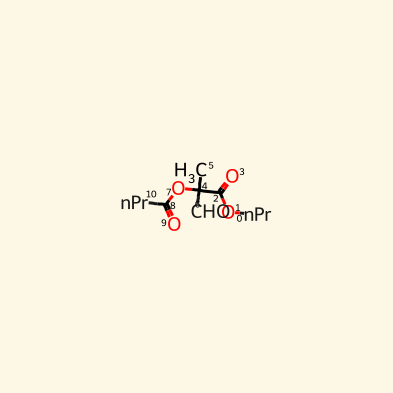 CCCOC(=O)C(C)(C=O)OC(=O)CCC